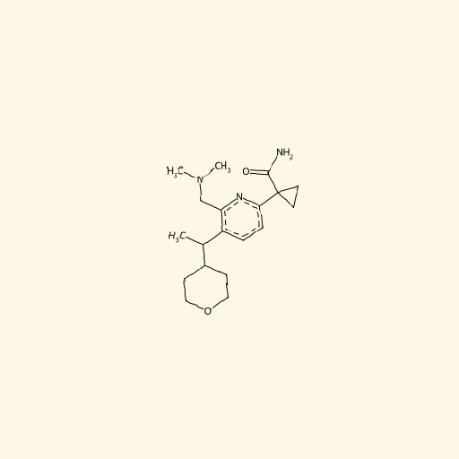 CC(c1ccc(C2(C(N)=O)CC2)nc1CN(C)C)C1CCOCC1